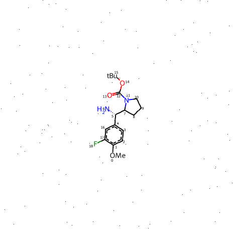 COc1ccc([C@H](N)C2CCCN2C(=O)OC(C)(C)C)cc1F